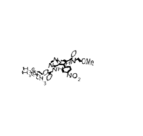 COCCNC(=O)c1cn2ncnc(NC(=O)OCC[Si](C)(C)C)c2c1-c1ccc([N+](=O)[O-])cc1